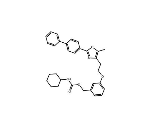 Cc1oc(-c2ccc(-c3ccccc3)cc2)nc1CCOc1[c]c(COC(=O)NC2CCCCC2)ccc1